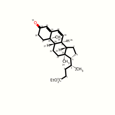 CCOC(=O)CC[C@@H](C)[C@H]1CC[C@H]2[C@@H]3C=CC4=CC(=O)CC[C@]4(C)[C@H]3CC[C@]12C